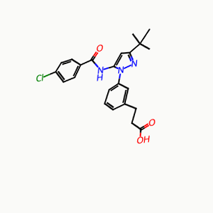 CC(C)(C)c1cc(NC(=O)c2ccc(Cl)cc2)n(-c2cccc(CCC(=O)O)c2)n1